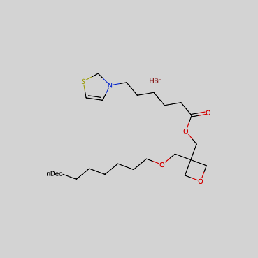 Br.CCCCCCCCCCCCCCCCOCC1(COC(=O)CCCCCN2C=CSC2)COC1